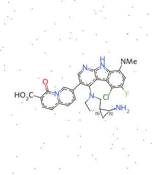 CNc1cc(F)c(Cl)c2c1[nH]c1ncc(-c3ccc4ccc(C(=O)O)c(=O)n4c3)c(N3CC[C@]4(C[C@@H]4N)C3)c12